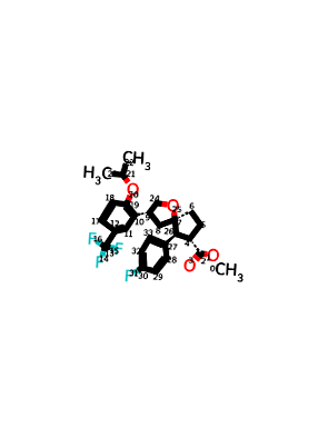 COC(=O)[C@H]1CC[C@@]2(C[C@H](c3cc(C(F)(F)F)ccc3OC(C)C)CO2)[C@@H]1c1ccc(F)cc1